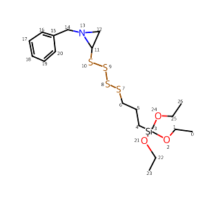 CCO[Si](CCCSSSSC1CN1Cc1ccccc1)(OCC)OCC